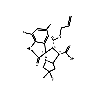 C=CCOC(=O)[C@@H]1[C@H](C(=O)O)C2CC(F)(F)CN2[C@@]12C(=O)Nc1c(F)cc(Cl)cc12